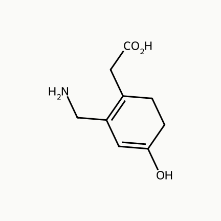 NCC1=C(CC(=O)O)CCC(O)=C1